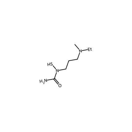 CCN(C)CCCN(S)C(N)=O